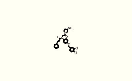 NC1CCN(C(=O)CN(C(=O)C=Cc2ccccc2)c2ccc(OCc3ccc(Cl)c(Cl)c3)cc2)C1